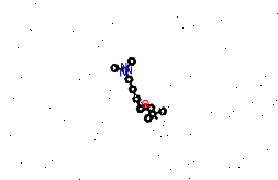 Cc1c(-c2ccccc2)c2ccc3oc4c(-c5ccc(-c6ccc(-c7ccc(-c8nc(-c9ccccc9)nc(-c9ccccc9)n8)cc7)cc6)cc5)cccc4c3c2c2ccccc12